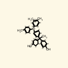 Cc1ccc(N(c2ccc(C(C)(C3=CC=C(O)CC3)c3ccc(O)cc3)cc2)c2ccc(C)c(C)c2)cc1